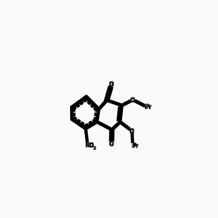 CC(C)OC1=C(OC(C)C)C(=O)c2c(cccc2[N+](=O)[O-])C1=O